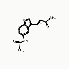 CC(=O)Nc1cnc2[nH]cc(/C=C/C(N)=O)c2c1